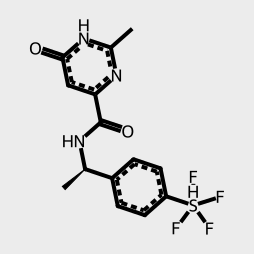 Cc1nc(C(=O)N[C@H](C)c2ccc([SH](F)(F)(F)F)cc2)cc(=O)[nH]1